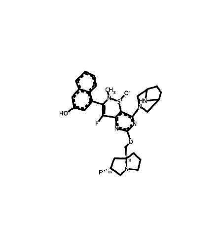 CN1C(c2cc(O)cc3ccccc23)=C(F)c2nc(OC[C@@]34CCCN3C[C@H](F)C4)nc(N3CC4CCC(C3)N4)c2[S+]1[O-]